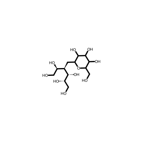 OCC1OC(C[C@@H]([C@H](O)[C@@H](O)CO)[C@H](O)CO)C(O)C(O)C1O